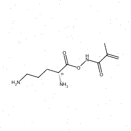 C=C(C)C(=O)NOC(=O)[C@H](N)CCCN